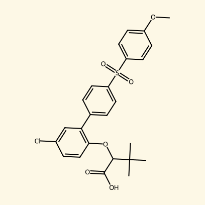 COc1ccc(S(=O)(=O)c2ccc(-c3cc(Cl)ccc3OC(C(=O)O)C(C)(C)C)cc2)cc1